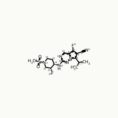 CC(C)c1c(C#N)c(F)c2cnc(N[C@@H]3CCN(S(C)(=O)=O)C[C@@H]3F)nn12